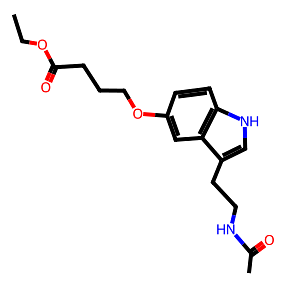 CCOC(=O)CCCOc1ccc2[nH]cc(CCNC(C)=O)c2c1